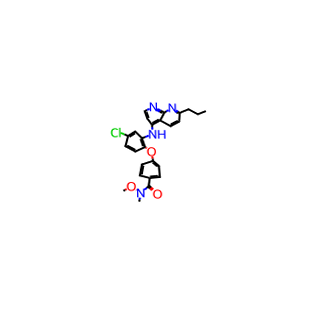 CCCc1ccc2c(Nc3cc(Cl)ccc3Oc3ccc(C(=O)N(C)OC)cc3)ccnc2n1